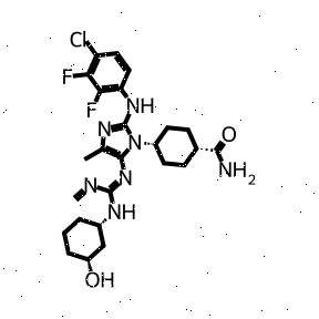 C=N/C(=N\c1c(C)nc(Nc2ccc(Cl)c(F)c2F)n1[C@H]1CC[C@@H](C(N)=O)CC1)N[C@H]1CCC[C@H](O)C1